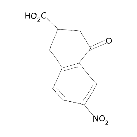 O=C1CC(C(=O)O)Cc2ccc([N+](=O)[O-])cc21